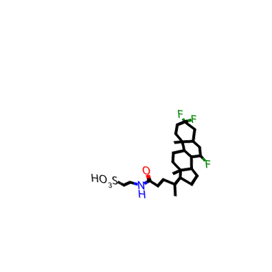 CC(CCC(=O)NCCS(=O)(=O)O)C1CCC2C3C(F)CC4CC(F)(F)CCC4(C)C3CCC12C